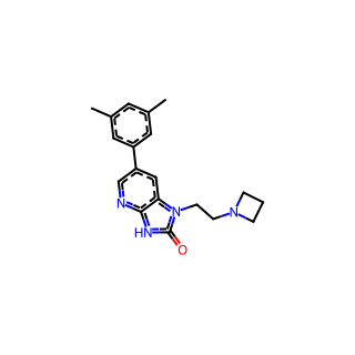 Cc1cc(C)cc(-c2cnc3[nH]c(=O)n(CCN4CCC4)c3c2)c1